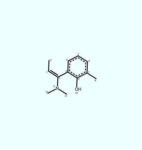 C/C=C(\c1cccc(C)c1O)N(C)C